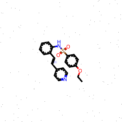 CCOc1ccc(S(=O)(=O)Nc2ccccc2/C=C/c2ccncc2)cc1